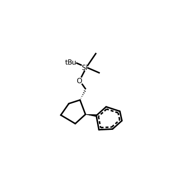 CC(C)(C)[Si](C)(C)OC[C@H]1CCC[C@@H]1c1ccccc1